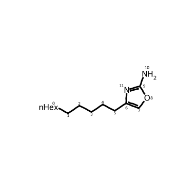 CCCCCCCCCCCc1coc(N)n1